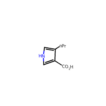 CCCc1c[nH]cc1C(=O)O